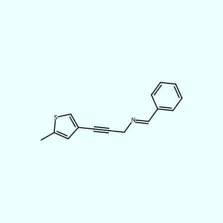 Cc1cc(C#CCN=Cc2ccccc2)cs1